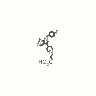 O=C(O)C=CCN1CCC(c2cn(Cc3ccc(F)cc3)c3ncncc23)CC1